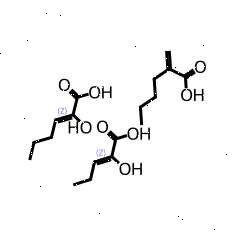 C=C(CCCC)C(=O)O.CC/C=C(\O)C(=O)O.CCC/C=C(\O)C(=O)O